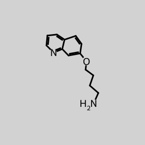 NCCCCOc1ccc2cccnc2c1